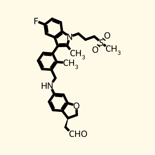 Cc1c(CNc2ccc3c(c2)OC[C@H]3CC=O)cccc1-c1c(C)n(CCCS(C)(=O)=O)c2ccc(F)cc12